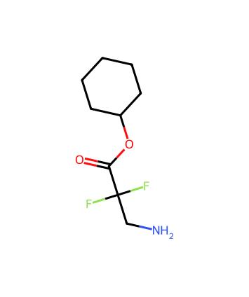 NCC(F)(F)C(=O)OC1CCCCC1